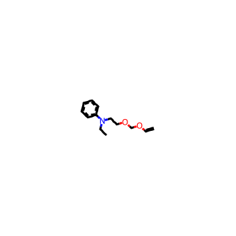 C=COCOCCN(CC)c1ccccc1